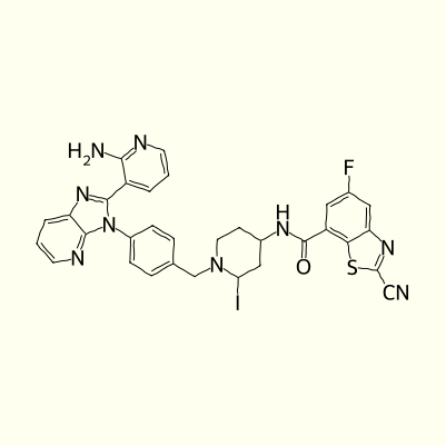 N#Cc1nc2cc(F)cc(C(=O)NC3CCN(Cc4ccc(-n5c(-c6cccnc6N)nc6cccnc65)cc4)C(I)C3)c2s1